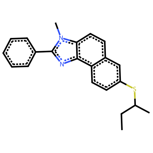 CCC(C)Sc1ccc2c(ccc3c2nc(-c2ccccc2)n3C)c1